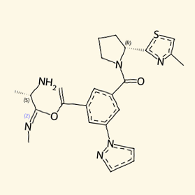 C=C(O/C(=N\C)[C@H](C)N)c1cc(C(=O)N2CCC[C@@H]2c2nc(C)cs2)cc(-n2cccn2)c1